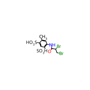 Cc1cc(NC(=O)C(Br)CBr)c(S(=O)(=O)O)cc1S(=O)(=O)O